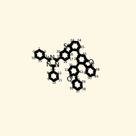 c1ccc(-c2nc(-c3ccccc3)nc(-c3ccc4c(c3)sc3cccc(-c5cc(-c6ccc7oc8ccccc8c7c6)c6c(c5)oc5ccccc56)c34)n2)cc1